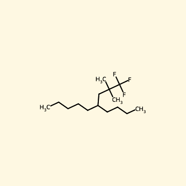 CCCCCC(CCCC)CC(C)(C)C(F)(F)F